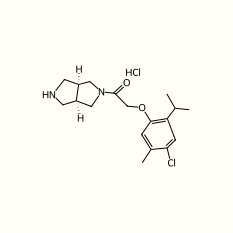 Cc1cc(OCC(=O)N2C[C@H]3CNC[C@H]3C2)c(C(C)C)cc1Cl.Cl